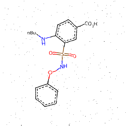 CCCCNc1ccc(C(=O)O)cc1S(=O)(=O)NOc1ccccc1